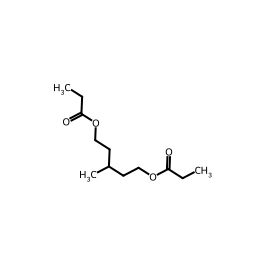 CCC(=O)OCCC(C)CCOC(=O)CC